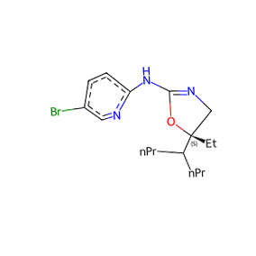 CCCC(CCC)[C@@]1(CC)CN=C(Nc2ccc(Br)cn2)O1